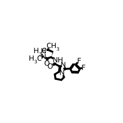 CNC(=O)[C@H](CC(C)C)NC(=O)c1nc(-c2ccc(F)c(F)c2)n2c1CCCC2